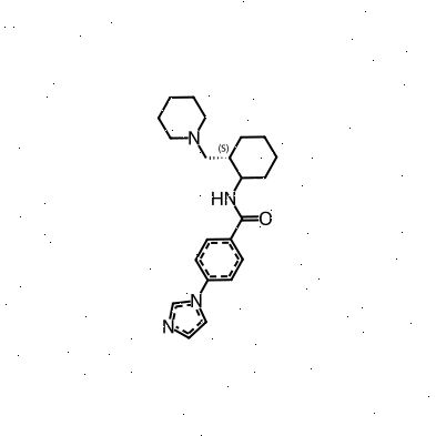 O=C(NC1CCCC[C@H]1CN1CCCCC1)c1ccc(-n2ccnc2)cc1